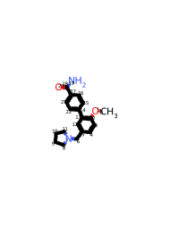 COc1ccc(CN2CCCC2)cc1-c1ccc(C(N)=O)cc1